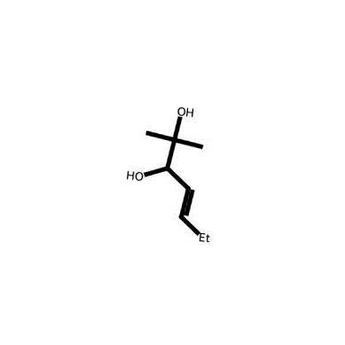 [CH2]CC=CC(O)C(C)(C)O